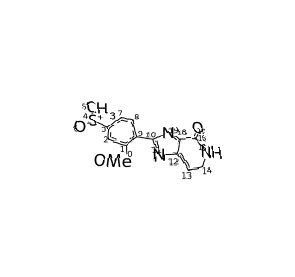 COc1cc([S+](C)[O-])ccc1C1=NC2=CCNC(=O)C2=N1